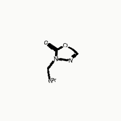 CCCCn1ncoc1=O